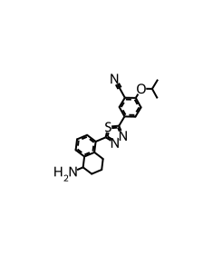 CC(C)Oc1ccc(-c2nnc(-c3cccc4c3CCCC4N)s2)cc1C#N